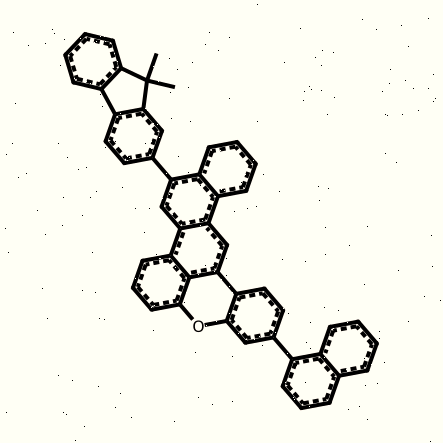 CC1(C)c2ccccc2-c2ccc(-c3cc4c5cccc6c5c(cc4c4ccccc34)-c3ccc(-c4cccc5ccccc45)cc3O6)cc21